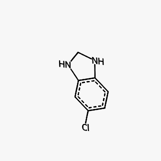 Clc1ccc2c(c1)NCN2